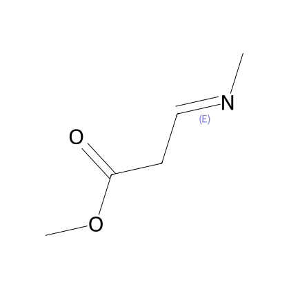 C/N=C/CC(=O)OC